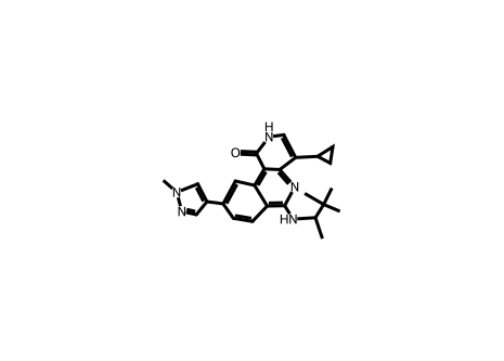 CC(Nc1nc2c(C3CC3)c[nH]c(=O)c2c2cc(-c3cnn(C)c3)ccc12)C(C)(C)C